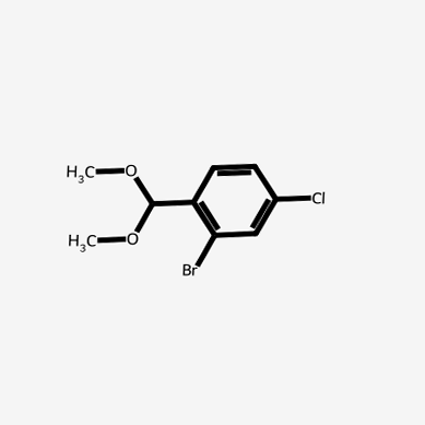 COC(OC)c1ccc(Cl)cc1Br